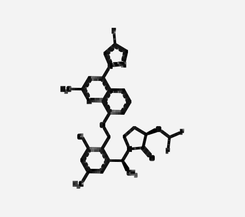 Cc1cc(Cl)c(COc2cccc3c(-n4cc(F)cn4)cc(C)nc23)c([C@H](C)N2CC[C@@H](OC(F)F)C2=O)c1